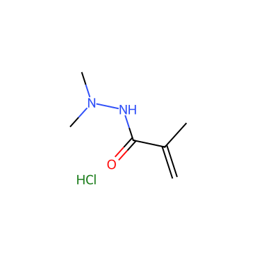 C=C(C)C(=O)NN(C)C.Cl